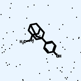 CPC12CC3CC(C1)CC(c1ccc(O)cc1)(C3)C2